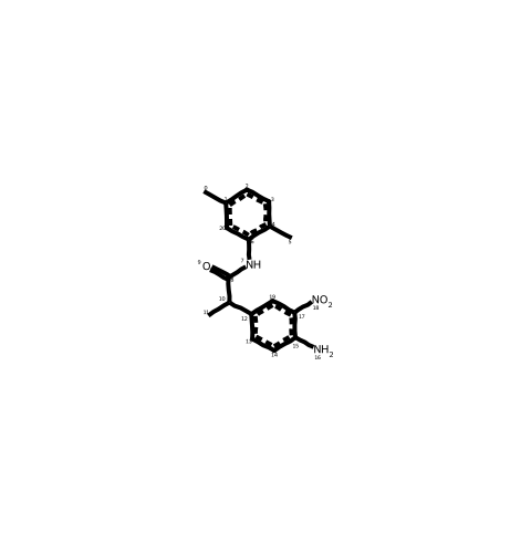 Cc1ccc(C)c(NC(=O)C(C)c2ccc(N)c([N+](=O)[O-])c2)c1